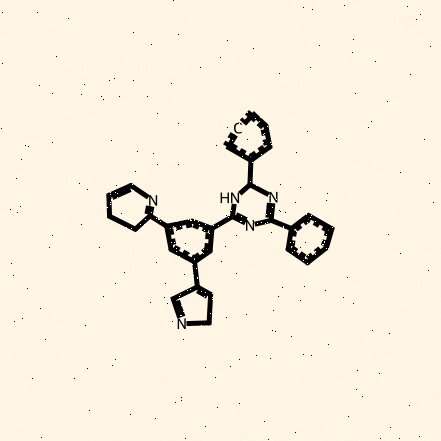 C1=CN=C(c2cc(C3=CCN=C3)cc(C3=NC(c4ccccc4)=NC(c4ccccc4)N3)c2)CC1